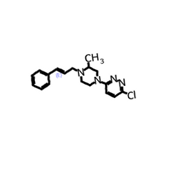 CC1CN(c2ccc(Cl)nn2)CCN1C/C=C/c1ccccc1